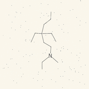 CCCC(CC)(CC)CCN(C)CC